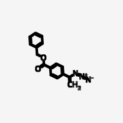 C=C(N=[N+]=[N-])c1ccc(C(=O)OCc2ccccc2)cc1